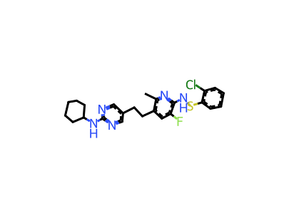 Cc1nc(NSc2ccccc2Cl)c(F)cc1CCc1cnc(NC2CCCCC2)nc1